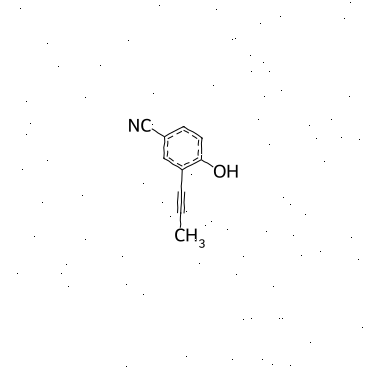 CC#Cc1cc(C#N)ccc1O